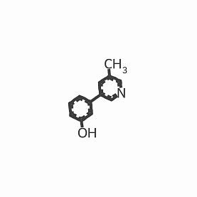 Cc1cncc(-c2cccc(O)c2)c1